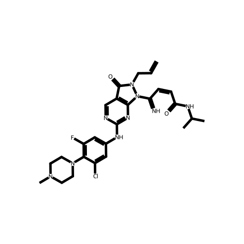 C=CCn1c(=O)c2cnc(Nc3cc(F)c(N4CCN(C)CC4)c(Cl)c3)nc2n1C(=N)/C=C\C(=O)NC(C)C